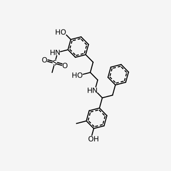 Cc1cc(C(Cc2ccccc2)NCC(O)Cc2ccc(O)c(NS(C)(=O)=O)c2)ccc1O